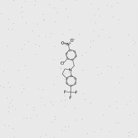 O=[N+]([O-])c1ccc(CN2CCc3cc(C(F)(F)F)ccc32)c(Cl)c1